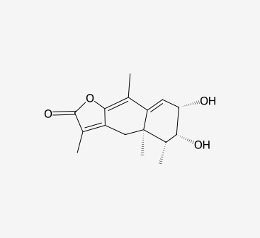 CC1=C2C[C@@]3(C)C(=C[C@H](O)[C@H](O)[C@@H]3C)C(C)=C2OC1=O